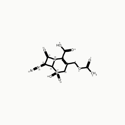 CC(=O)OCC1=C(C(=O)O)N2C(=O)C(=[N+]=[N-])C2S(=O)(=O)C1